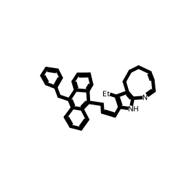 CCc1c(/C=C\Cc2c3ccccc3c(Cc3ccccc3)c3ccccc23)[nH]c2c1CCC/C=C\C=N/2